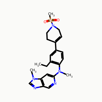 CCc1cc(C2=CCN(S(C)(=O)=O)CC2)ccc1N(C)c1cc2c(cn1)ncn2C